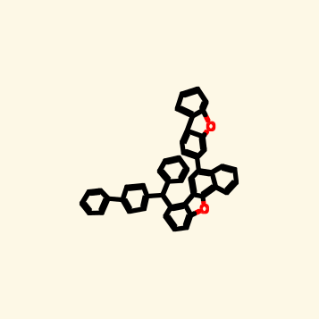 c1ccc(-c2ccc(C(c3ccccc3)c3cccc4oc5c6ccccc6c(-c6ccc7c(c6)oc6ccccc67)cc5c34)cc2)cc1